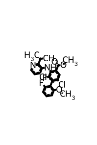 COC(=O)c1cc(Cl)c(-c2c(F)cccc2OC)c(F)c1Nc1c(C)ccnc1C(C)C